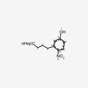 CCCCCCCCCCc1cc(O)ccc1[N+](=O)[O-]